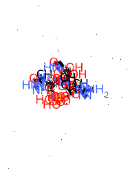 CO[C@@H]1[C@H](CS(=O)(=O)NC[C@H]2O[C@@H](n3ccc(=O)[nH]c3=O)[C@H](O)[C@@H]2O)[C@@H](COP(=O)(O)OP(=O)(O)OP(=O)(O)OC[C@H]2O[C@@H](n3c[n+](C)c4c(=O)[nH]c(N)nc43)[C@H](O)[C@@H]2CC(=O)N(C)C)O[C@H]1n1cnc2c(N)ncnc21